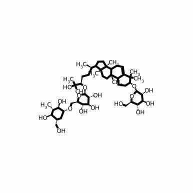 C[C@H]1[C@H](O)[C@@H](CO)C[C@@H](OC[C@H]2O[C@@H](O[C@H](CC[C@@H](C)C3CC[C@@]4(C)C5CC=C6C(CC[C@H](O[C@@H]7O[C@H](CO)[C@@H](O)[C@H](O)[C@H]7O)C6(C)C)[C@]5(C)CC[C@]34C)C(C)(C)O)[C@H](O)[C@@H](O)[C@@H]2O)[C@@H]1O